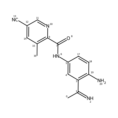 CC(=N)c1cc(NC(=O)c2ncc(C#N)cc2C)ccc1N